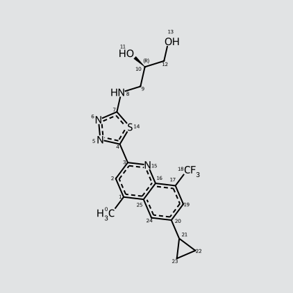 Cc1cc(-c2nnc(NC[C@@H](O)CO)s2)nc2c(C(F)(F)F)cc(C3CC3)cc12